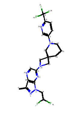 Cc1nn(CC(F)F)c2nc(N3CC4(CCCN(c5ccc(C(F)(F)F)nc5)C4)C3)cnc12